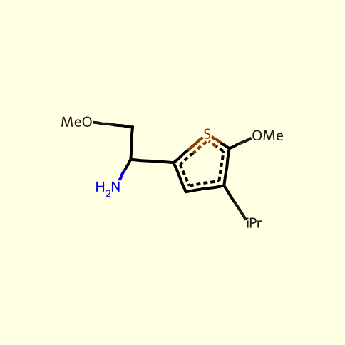 COCC(N)c1cc(C(C)C)c(OC)s1